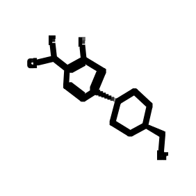 Fc1cc([C@H]2CC[C@H](CBr)CC2)ccc1C(F)Cl